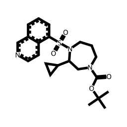 CC(C)(C)OC(=O)N1CCCN(S(=O)(=O)c2cccc3cnccc23)C(C2CC2)C1